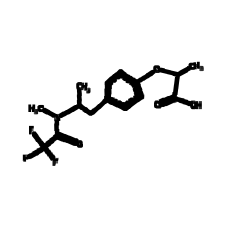 CC(Oc1ccc(CC(C)N(C)C(=O)C(F)(F)F)cc1)C(=O)O